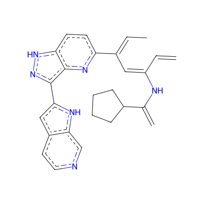 C=C/C(=C\C(=C/C)c1ccc2[nH]nc(-c3cc4ccncc4[nH]3)c2n1)NC(=C)C1CCCC1